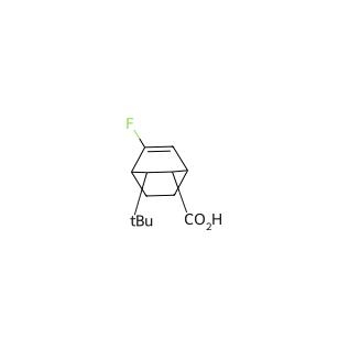 CC(C)(C)C1C2CCC(C=C2F)C1C(=O)O